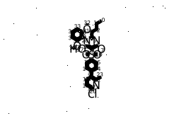 CCCCc1nc(=O)c(S(=O)(=O)c2ccc(-c3ccc(Cl)nc3C)cc2)c(O)n1-c1c(OC)cccc1OC